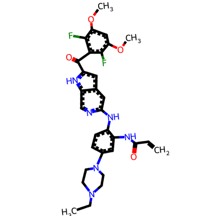 C=CC(=O)Nc1cc(N2CCN(CC)CC2)ccc1Nc1cc2cc(C(=O)c3c(F)c(OC)cc(OC)c3F)[nH]c2cn1